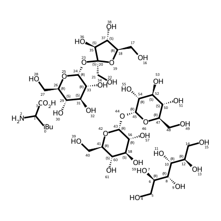 CCC(C)C(N)C(=O)O.OC[C@@H](O)[C@@H](O)[C@H](O)[C@H](O)CO.OC[C@H]1O[C@@](CO)(O[C@H]2O[C@H](CO)[C@@H](O)[C@H](O)[C@H]2O)[C@@H](O)[C@@H]1O.OC[C@H]1O[C@H](O[C@H]2O[C@H](CO)[C@@H](O)[C@H](O)[C@H]2O)[C@H](O)[C@@H](O)[C@@H]1O